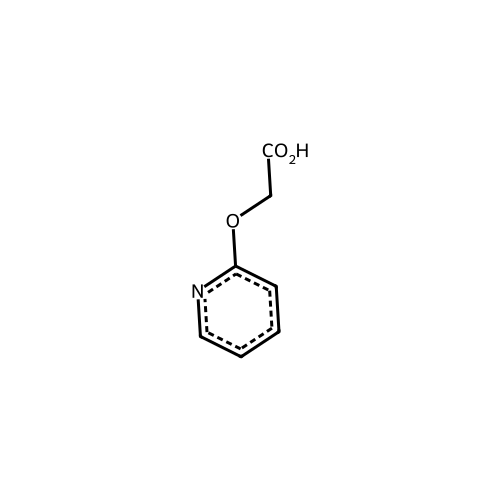 O=C(O)COc1ccccn1